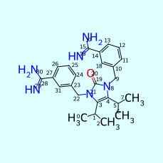 CC(C)c1c(C(C)C)n(Cc2cccc(C(=N)N)c2)c(=O)n1Cc1cccc(C(=N)N)c1